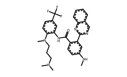 CNc1ccc(C(=O)Nc2cc(C(F)(F)F)ccc2N(C)CCCN(C)C)c(-c2ncc3ccccc3n2)c1